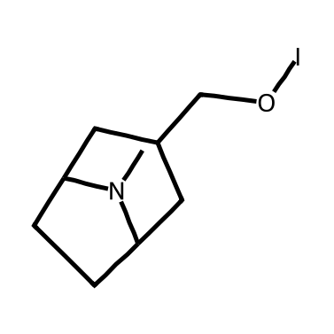 CN1C2CCC1CC(COI)C2